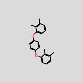 Cc1cccc(Oc2ccc(Oc3cccc(C)c3C)cc2)c1C